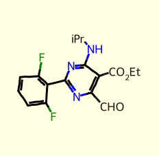 CCOC(=O)c1c(C=O)nc(-c2c(F)cccc2F)nc1NC(C)C